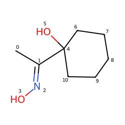 CC(=NO)C1(O)CCCCC1